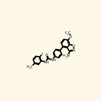 Cc1ccc(F)c(NC(=O)Nc2ccc(-c3ccc(OC(F)(F)F)c4onc(N)c34)cc2)c1